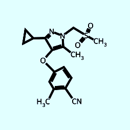 Cc1cc(Oc2c(C3CC3)nn(CS(C)(=O)=O)c2C)ccc1C#N